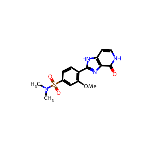 COc1cc(S(=O)(=O)N(C)C)ccc1-c1nc2c(=O)[nH]ccc2[nH]1